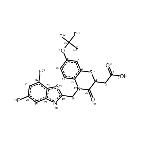 O=C(O)CC1Sc2cc(OC(F)(F)F)ccc2N(Cc2nc3cc(F)cc(F)c3s2)C1=O